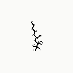 CCCCCC(F)CC(=O)C(C)(C)C